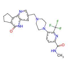 CNC(=O)c1ccc(N2CCN(Cc3cnc4c5c(c(=O)[nH]c4c3)CCC5)CC2)c(C(F)(F)F)n1